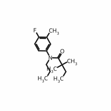 CCCN(C(=O)C(C)(C)CC)c1ccc(F)c(C)c1